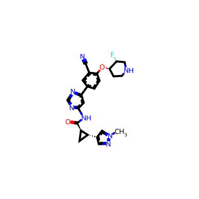 Cn1cc([C@@H]2C[C@H]2C(=O)Nc2cc(-c3ccc(O[C@H]4CCNC[C@H]4F)c(C#N)c3)ncn2)cn1